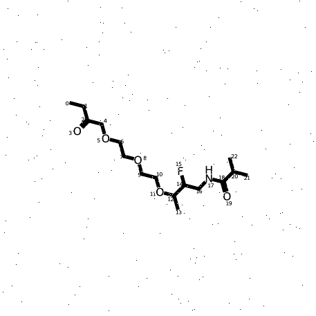 CCC(=O)COCCOCCOC(C)C(F)CNC(=O)C(C)C